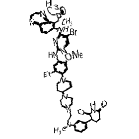 CCc1cc(Nc2ncc(Br)c(Nc3ccc4nccnc4c3P(C)(C)=O)n2)c(OC)cc1N1CCC(N2CCN(CCN(C)c3cccc(C4CCC(=O)NC4=O)c3)CC2)CC1